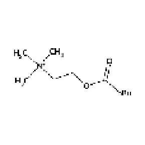 CCCCC(=O)OCC[N+](C)(C)C